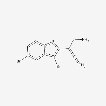 C=C=C(CN)c1sc2ccc(Br)cc2c1Br